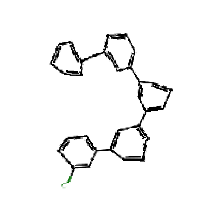 Clc1cccc(-c2cccc(-c3cccc(-c4cccc(-c5ccccc5)c4)c3)c2)c1